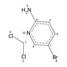 ClCCl.Nc1ccc(Br)cn1